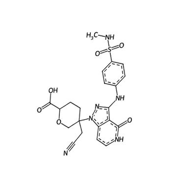 CNS(=O)(=O)c1ccc(Nc2nn(C3(CC#N)CCC(C(=O)O)OC3)c3cc[nH]c(=O)c23)cc1